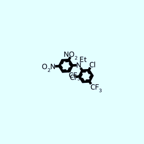 CCN(c1c(Cl)cc(C(F)(F)F)cc1Cl)c1c([N+](=O)[O-])cc([N+](=O)[O-])cc1C(F)(F)F